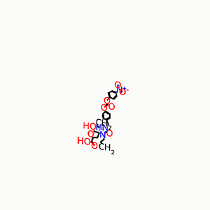 C=CCN(C(=O)NCc1ccc(OC(=O)Oc2ccc([N+](=O)[O-])cc2)cc1)[C@@](CC=C)(CCC(=O)O)C(=O)O